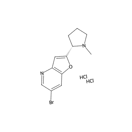 CN1CCC[C@H]1c1cc2ncc(Br)cc2o1.Cl.Cl